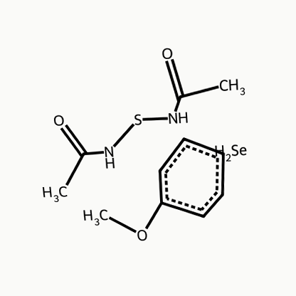 CC(=O)NSNC(C)=O.COc1ccccc1.[SeH2]